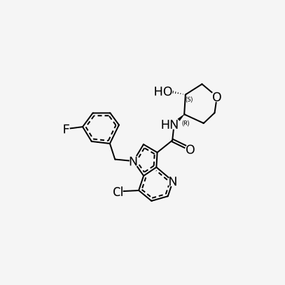 O=C(N[C@@H]1CCOC[C@H]1O)c1cn(Cc2cccc(F)c2)c2c(Cl)ccnc12